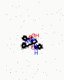 O=C(O)N1CCC(n2c(=O)[nH]c3ccccc32)C(CCCc2ccccc2)C1NCc1ccccc1